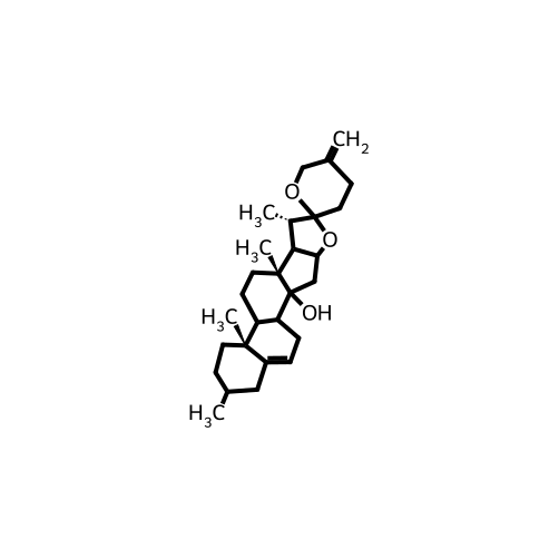 C=C1CCC2(OC1)OC1CC3(O)C4CC=C5CC(C)CC[C@]5(C)C4CC[C@]3(C)C1[C@@H]2C